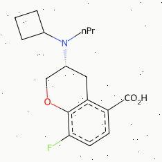 CCCN(C1CCC1)[C@H]1COc2c(F)ccc(C(=O)O)c2C1